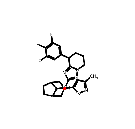 Cc1cc(N2CC3CCC(C2)C3Nc2nc3n(n2)CCCC3c2cc(F)c(F)c(F)c2)sn1